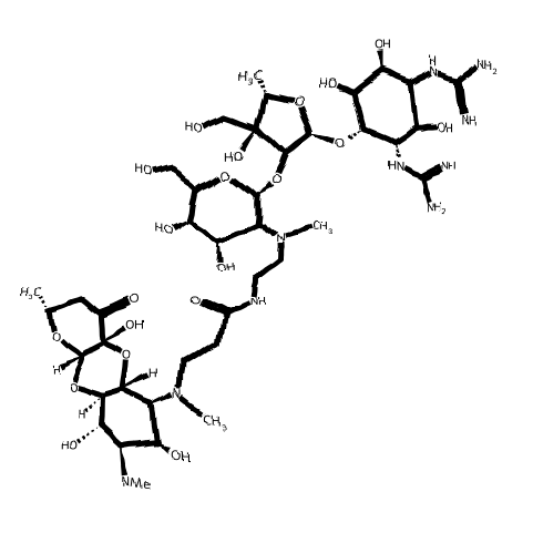 CN[C@H]1[C@H](O)[C@H]2O[C@@H]3O[C@H](C)CC(=O)[C@]3(O)O[C@@H]2[C@@H](N(C)CCC(=O)NCCN(C)C2[C@H](OC3[C@H](O[C@@H]4C(O)[C@@H](O)C(NC(=N)N)C(O)[C@@H]4NC(=N)N)O[C@@H](C)[C@@]3(O)CO)OC(CO)[C@H](O)[C@@H]2O)[C@H]1O